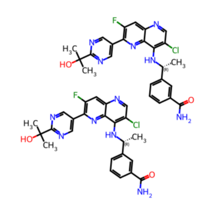 C[C@@H](Nc1c(Cl)cnc2cc(F)c(-c3cnc(C(C)(C)O)nc3)nc12)c1cccc(C(N)=O)c1.C[C@@H](Nc1c(Cl)cnc2cc(F)c(-c3cnc(C(C)(C)O)nc3)nc12)c1cccc(C(N)=O)c1